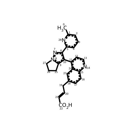 Cc1cccc(-c2nn3c(c2-c2ccnc4ccc(CC=CC(=O)O)cc24)CCC3)n1